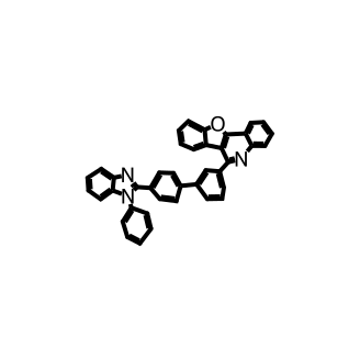 c1ccc(-n2c(-c3ccc(-c4cccc(-c5nc6ccccc6c6oc7ccccc7c56)c4)cc3)nc3ccccc32)cc1